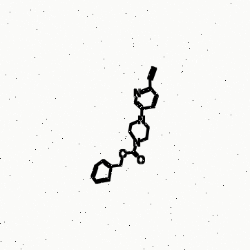 C#Cc1ccc(N2CCN(C(=O)OCc3ccccc3)CC2)cn1